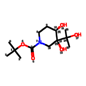 CC(C)(C)OC(=O)N1CC[C@@H](O)[C@](O)(C(C)(C)O)C1